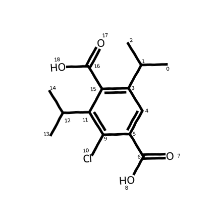 CC(C)c1cc(C(=O)O)c(Cl)c(C(C)C)c1C(=O)O